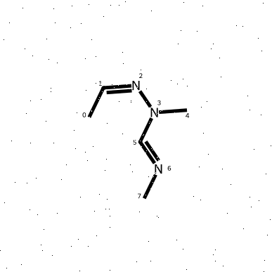 C/C=N\N(C)/C=N/C